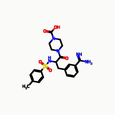 Cc1ccc(S(=O)(=O)NC(Cc2cccc(C(=N)N)c2)C(=O)N2CCN(C(=O)O)CC2)cc1